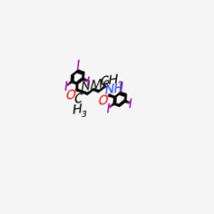 CNC(C)(CCCC(C)NC(=O)c1c(I)cc(I)cc1I)C(=O)c1c(I)cc(I)cc1I